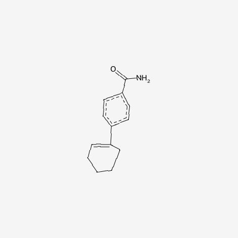 NC(=O)c1ccc(C2=CCCCC2)cc1